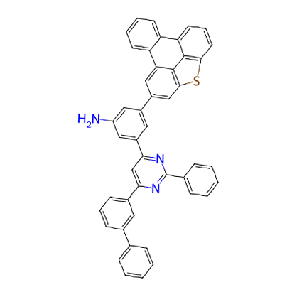 Nc1cc(-c2cc3sc4cccc5c6ccccc6c(c2)c3c45)cc(-c2cc(-c3cccc(-c4ccccc4)c3)nc(-c3ccccc3)n2)c1